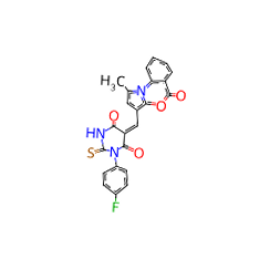 Cc1cc(/C=C2\C(=O)NC(=S)N(c3ccc(F)cc3)C2=O)c2oc(=O)c3ccccc3n12